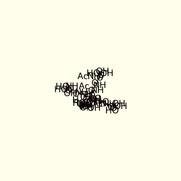 CC(=O)NC1C(O)[C@@H](O)C(CO)O[C@H]1OCCCCC(=O)NCCCNC(=O)CCOCC(COCCC(=O)NCCCNC(=O)CCCCO[C@@H]1OC(CO)[C@H](O)C(O)C1NC(C)=O)(COCCC(=O)NCCCNC(=O)CCCCO[C@@H]1OC(CO)[C@H](O)C(O)C1NC(C)=O)NC(=O)CC(C)C(C)C(=O)N1C[C@H](O)C[C@H]1COP(=O)(O)OC(=O)OCc1ccccc1